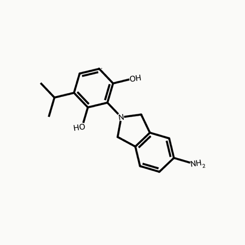 CC(C)c1c[c]c(O)c(N2Cc3ccc(N)cc3C2)c1O